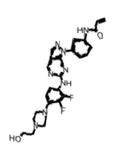 C=CC(=O)Nc1cccc(-n2ncc3cnc(Nc4ccc(N5CCN(CCO)CC5)c(F)c4F)nc32)c1